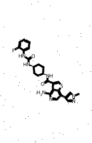 Cn1cc(-c2cnc(N)c3c(C(=O)N[C@H]4CC[C@H](NC(=O)Nc5ccccc5F)CC4)csc23)cn1